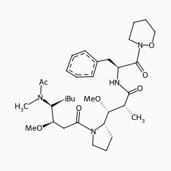 CC[C@H](C)[C@@H]([C@@H](CC(=O)N1CCC[C@H]1[C@H](OC)[C@@H](C)C(=O)N[C@@H](Cc1ccccc1)C(=O)N1CCCCO1)OC)N(C)C(C)=O